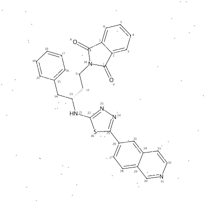 O=C1c2ccccc2C(=O)N1CC[C@@H](Cc1ccccc1)Nc1nnc(-c2ccc3cnccc3c2)s1